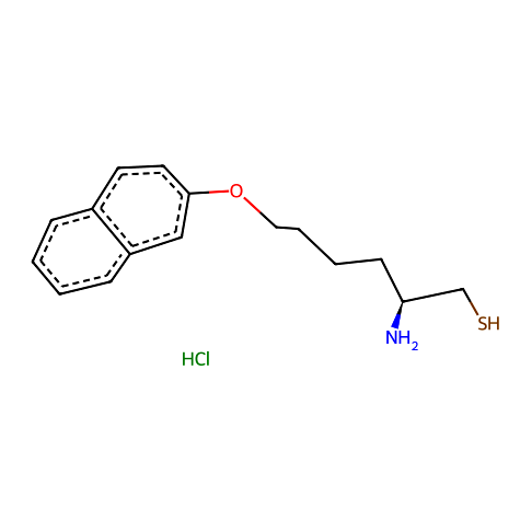 Cl.N[C@H](CS)CCCCOc1ccc2ccccc2c1